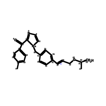 Cc1ccc(C(=O)c2nccn2Cc2ccc(/C=C/CO[C@H](C)C(=O)O)cc2)cc1